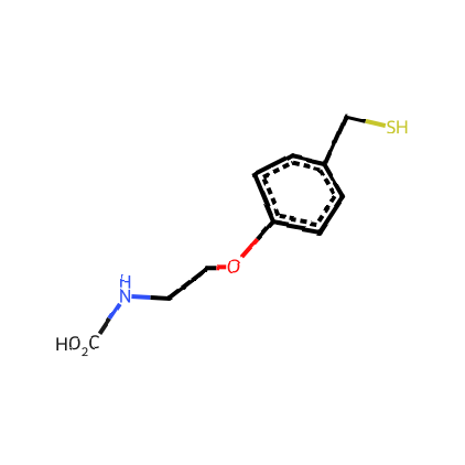 O=C(O)NCCOc1ccc(CS)cc1